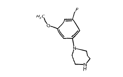 COc1cc(F)cc(N2CCNCC2)c1